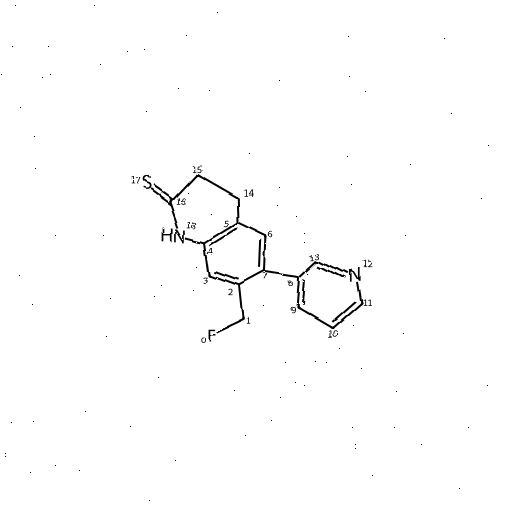 FCc1cc2c(cc1-c1cccnc1)CCC(=S)N2